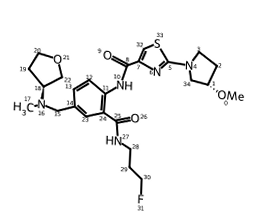 CO[C@H]1CCN(c2nc(C(=O)Nc3ccc(CN(C)[C@H]4CCOC4)cc3C(=O)NCCCF)cs2)C1